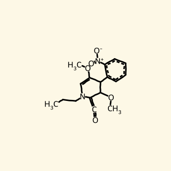 CCCN1C=C(OC)C(c2ccccc2[N+](=O)[O-])C(OC)C1=C=O